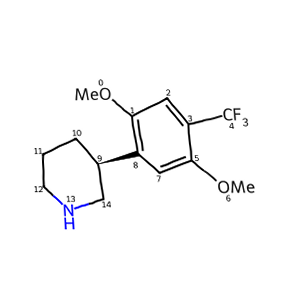 COc1cc(C(F)(F)F)c(OC)cc1[C@@H]1CCCNC1